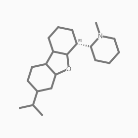 CC(C)C1CCC2C(C1)OC1C2CCC[C@@H]1C1CCCCN1C